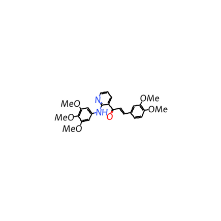 COc1ccc(C=CC(=O)c2cccnc2Nc2cc(OC)c(OC)c(OC)c2)cc1OC